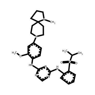 COc1cc(N2CCC3(CCCN3C)CC2)ccc1Nc1ncnc(Nc2ccccc2S(=O)(=O)C(C)C)n1